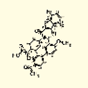 COc1ccc(-c2ccc([S+](C)[O-])cc2)cc1CN(C(=O)c1sc2c(F)ccc(F)c2c1Cl)C1CCC(N(C)C(=O)O)CC1